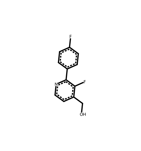 OCc1ccnc(-c2ccc(F)cc2)c1F